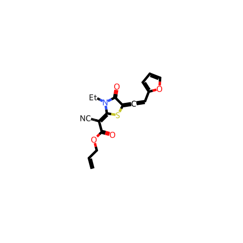 C=CCOC(=O)/C(C#N)=c1\sc(=C=Cc2ccco2)c(=O)n1CC